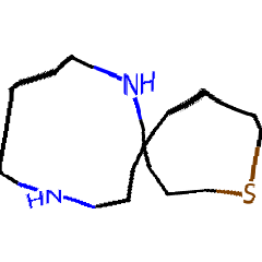 C1CNCC2(CCSC2)NC1